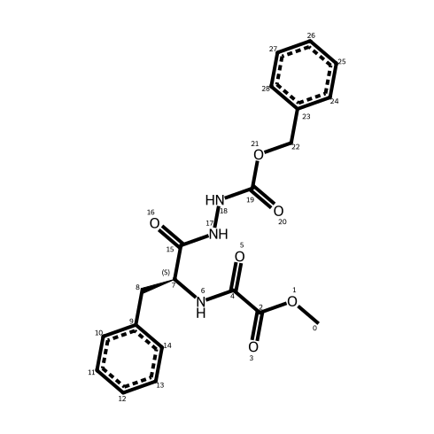 COC(=O)C(=O)N[C@@H](Cc1ccccc1)C(=O)NNC(=O)OCc1ccccc1